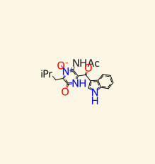 CC(=O)Nc1c(C(=O)c2c[nH]c3ccccc23)[nH]c(=O)c(CC(C)C)[n+]1[O-]